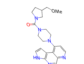 COCC1CCN(C(=O)N2CCN(c3ccnc4cnc5[nH]ccc5c34)CC2)C1